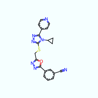 N#Cc1cccc(-c2nnc(CSc3nnc(-c4ccncc4)n3C3CC3)o2)c1